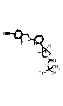 CC(C)(C)OC(=O)N1C[C@@H]2C(c3cccc(OCc4ccc(C#N)cc4F)n3)[C@@H]2C1